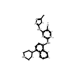 CC1=NN=C(Nc2nc(Nc3ccc(C4CCNCC4)c4ccccc34)ncc2Cl)C1